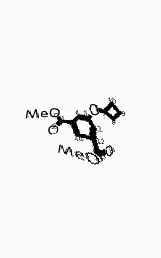 COC(=O)c1cc(OC2CCC2)cc(C(=O)OC)c1